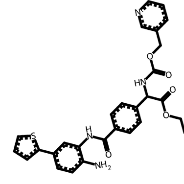 CCOC(=O)C(NC(=O)OCc1cccnc1)c1ccc(C(=O)Nc2cc(-c3cccs3)ccc2N)cc1